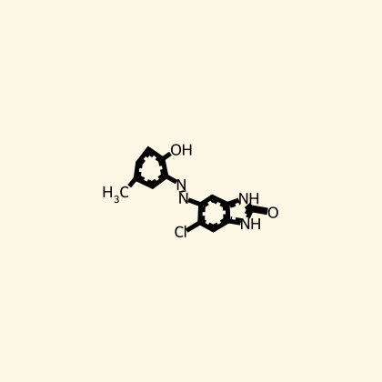 Cc1ccc(O)c(N=Nc2cc3[nH]c(=O)[nH]c3cc2Cl)c1